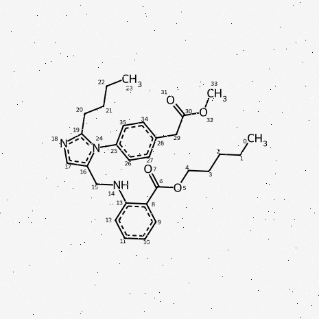 CCCCCOC(=O)c1ccccc1NCc1cnc(CCCC)n1-c1ccc(CC(=O)OC)cc1